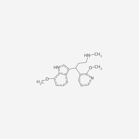 CNCCC(c1cccnc1OC)c1c[nH]c2c(OC)cccc12